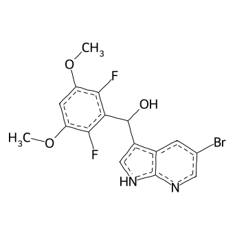 COc1cc(OC)c(F)c(C(O)c2c[nH]c3ncc(Br)cc23)c1F